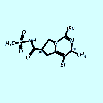 CCC1=C2C[C@@H](C(=O)NS(C)(=O)=O)CN2C(C(C)(C)C)=N[C@H]1C